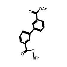 CCCOC(=O)c1cccc(-c2cccc(C(=O)OC(C)=O)c2)c1